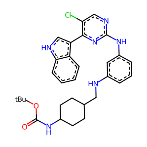 CC(C)(C)OC(=O)NC1CCC(CNc2cccc(Nc3ncc(Cl)c(-c4c[nH]c5ccccc45)n3)c2)CC1